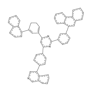 C1=C(c2cc(-c3ccc(-c4cncc5ccccc45)cc3)nc(-c3cccc(-c4cc5ccccc5c5ccccc45)c3)n2)C=C(c2cccc3ccccc23)CC1